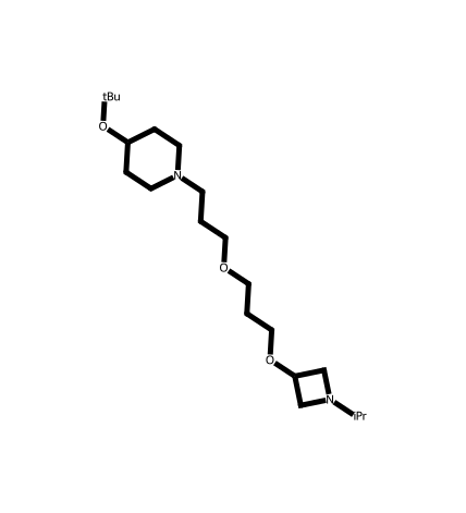 CC(C)N1CC(OCCCOCCCN2CCC(OC(C)(C)C)CC2)C1